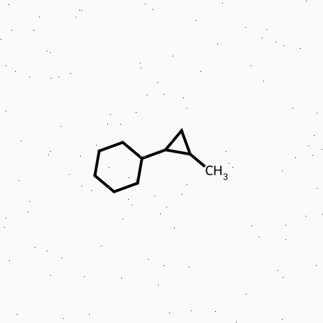 CC1CC1C1CCCCC1